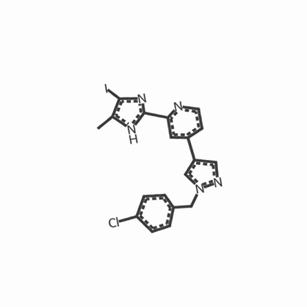 Cc1[nH]c(-c2cc(-c3cnn(Cc4ccc(Cl)cc4)c3)ccn2)nc1I